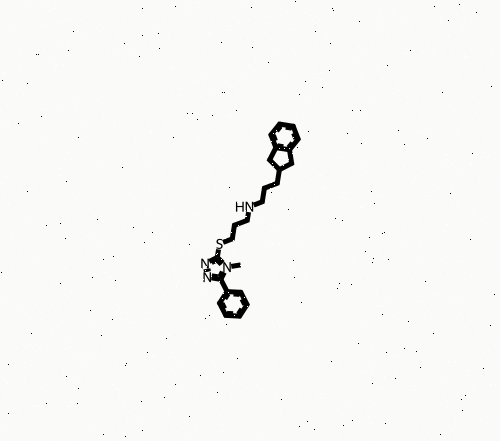 Cn1c(SCCCNCCCC2Cc3ccccc3C2)nnc1-c1ccccc1